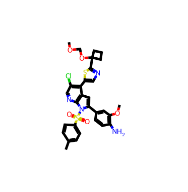 COCOC1(c2ncc(-c3c(Cl)cnc4c3cc(-c3ccc(N)c(OC)c3)n4S(=O)(=O)c3ccc(C)cc3)s2)CCC1